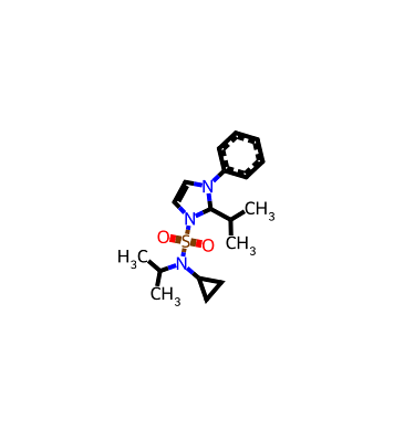 CC(C)C1N(c2ccccc2)C=CN1S(=O)(=O)N(C(C)C)C1CC1